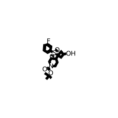 CC(C)(C)OC(=O)N1CCC(C2(S(=O)(=O)c3cccc(F)c3)CC(O)C2)CC1